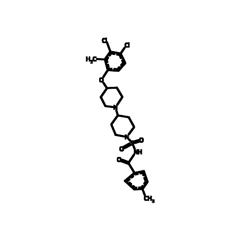 Cc1ccc(C(=O)NS(=O)(=O)N2CCC(N3CCC(Oc4ccc(Cl)c(Cl)c4C)CC3)CC2)cc1